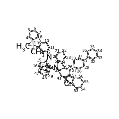 CC1(C)c2ccccc2-c2ccc(N(c3ccccc3)c3cccc4c5c(-c6ccc(-c7ccccc7)cc6)c6c(cc5n(-c5ccccc5)c34)oc3ccccc36)cc21